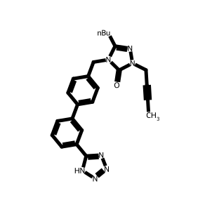 CC#CCn1nc(CCCC)n(Cc2ccc(-c3cccc(-c4nnn[nH]4)c3)cc2)c1=O